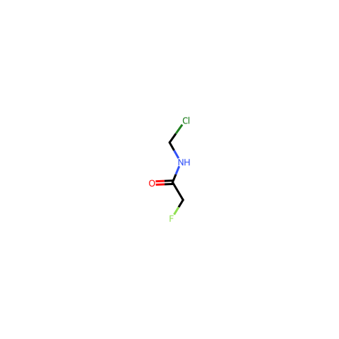 O=C(CF)NCCl